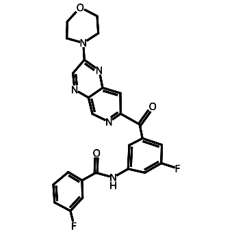 O=C(Nc1cc(F)cc(C(=O)c2cc3nc(N4CCOCC4)cnc3cn2)c1)c1cccc(F)c1